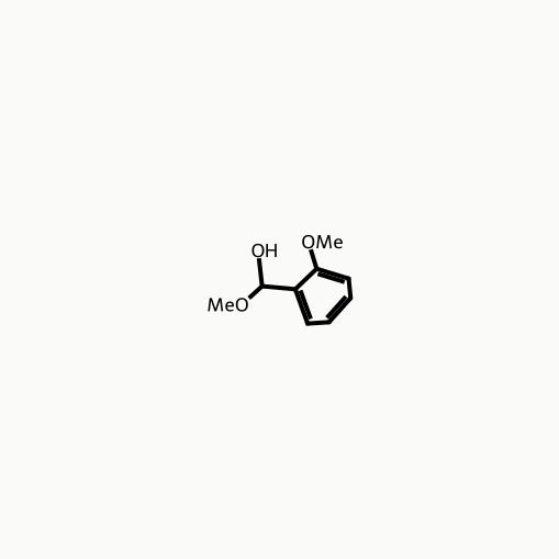 COc1ccccc1C(O)OC